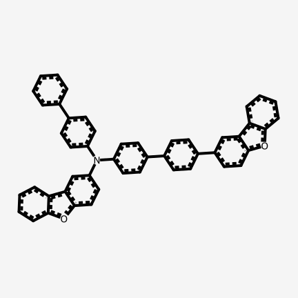 c1ccc(-c2ccc(N(c3ccc(-c4ccc(-c5ccc6oc7ccccc7c6c5)cc4)cc3)c3ccc4oc5ccccc5c4c3)cc2)cc1